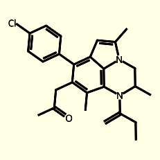 C=C(CC)N1c2c(C)c(CC(C)=O)c(-c3ccc(Cl)cc3)c3cc(C)n(c23)CC1C